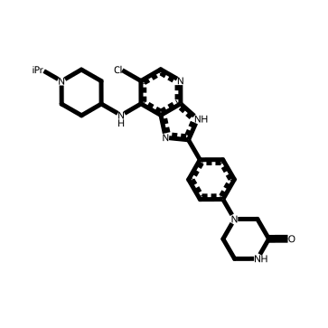 CC(C)N1CCC(Nc2c(Cl)cnc3[nH]c(-c4ccc(N5CCNC(=O)C5)cc4)nc23)CC1